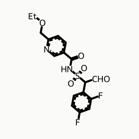 CCOCc1ccc(C(=O)NS(=O)(=O)C(C=O)c2ccc(F)cc2F)cn1